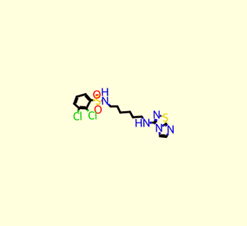 O=S(=O)(NCCCCCCNc1nsc2nccn12)c1cccc(Cl)c1Cl